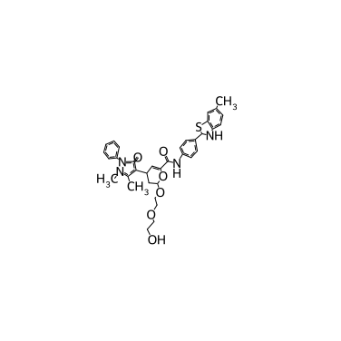 Cc1ccc2c(c1)SC(c1ccc(NC(=O)C3=CC(c4c(C)n(C)n(-c5ccccc5)c4=O)CC(OCCOCCO)O3)cc1)N2